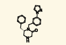 O=C1CNC[C@H](Cc2ccccc2)N1Cc1cccc(-n2cccn2)c1